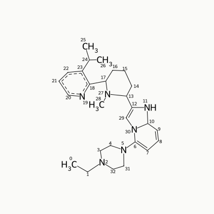 CCN1CCN(C2=CC=CC3NC(C4CCCC(c5ncccc5C(C)C)N4C)=CN23)CC1